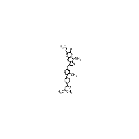 CCC[C@H](Oc1nc(N)c2ncc(Cc3cnc(N4CCN(C(=O)CN(C)C)CC4)c(C)c3)n2n1)C(F)F